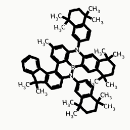 Cc1cc2c3c(c1)N(c1ccc4c(c1)C(C)(C)CCC4(C)C)c1cc4c(cc1B3N(c1ccc3c(c1)C(C)(C)CCC3(C)C)c1ccc3c(c1-2)-c1ccccc1C3(C)C)C(C)(C)CCC4(C)C